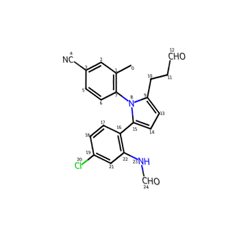 Cc1cc(C#N)ccc1-n1c(CCC=O)ccc1-c1ccc(Cl)cc1NC=O